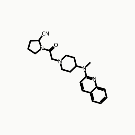 CN(c1ccc2ccccc2n1)C1CCN(CC(=O)N2CCCC2C#N)CC1